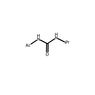 CC(=O)NC(=O)NC(C)C